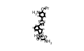 CC(C)Oc1ccc(-c2nnc(-c3cccc4c3CCC4NS(=O)(=O)CC(N)=O)s2)cc1N